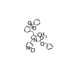 Cc1c(Cc2ccccc2S(=O)(=O)c2ccccc2)cc(-c2ccnc(Cl)c2)n1CC(=O)OCc1ccccc1